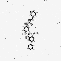 COc1ccc(-c2ccccc2)cc1S(=O)(=O)Nc1ccc(NC(=O)NCc2cccnc2)cc1